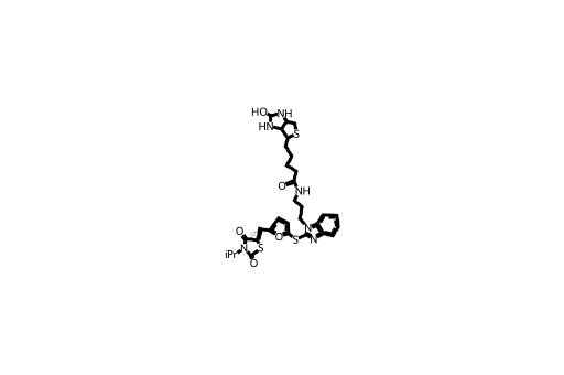 CC(C)N1C(=O)S/C(=C\c2ccc(Sc3nc4ccccc4n3CCCNC(=O)CCCCC3SCC4NC(O)NC43)o2)C1=O